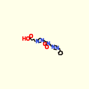 O=C(O)CCCN1CCN(CC2CN(CCN3CCN(Cc4ccccc4)CC3)C(=O)O2)CC1